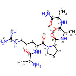 C[C@H](N)C(=O)N[C@@H](CCCNC(=N)N)C(=O)N1CCC[C@H]1C(=O)N[C@@H](C)C(=O)N[C@@H](C)C(N)=O